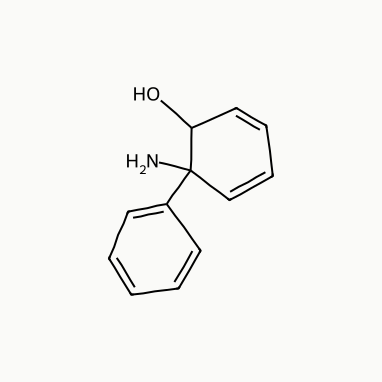 NC1(c2ccccc2)C=CC=CC1O